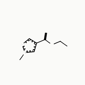 [CH2]n1cc(C(=O)OCC)cn1